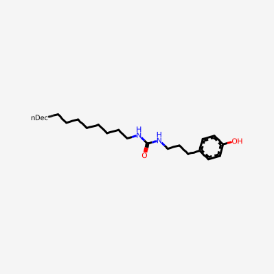 CCCCCCCCCCCCCCCCCCNC(=O)NCCCc1ccc(O)cc1